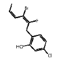 C/C=C\C(Br)=C(\F)Cc1ccc(Cl)cc1O